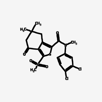 CN(C(=O)c1sc(S(C)(=O)=O)c2c1CC(C)(C)CC2=O)c1ccc(Cl)c(Cl)c1